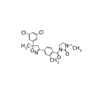 CCN1CCN(C(=O)c2ccc(C3=NOC(C)(c4cc(Cl)cc(Cl)c4)C3)cc2C)C1=O